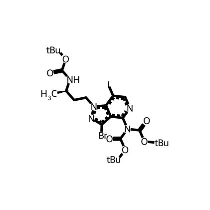 C[C@H](CCn1nc(Br)c2c(N(C(=O)OC(C)(C)C)C(=O)OC(C)(C)C)ncc(I)c21)NC(=O)OC(C)(C)C